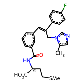 CSCC[C@H](NC(=O)c1cccc(C=C(Cn2cncc2C)c2ccc(F)cc2)c1)C(=O)O